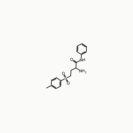 Cc1ccc(S(=O)(=O)CCC(N)C(=O)Nc2ccccc2)cc1